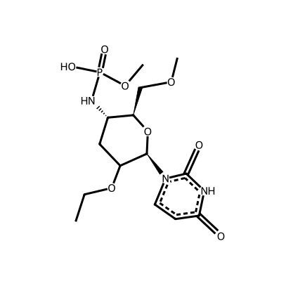 CCOC1C[C@H](NP(=O)(O)OC)[C@@H](COC)O[C@H]1n1ccc(=O)[nH]c1=O